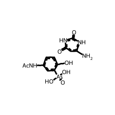 CC(=O)Nc1ccc(O)c([As](=O)(O)O)c1.Nc1cc(=O)[nH]c(=O)[nH]1